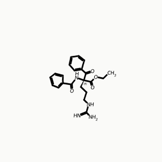 CCOC(=O)[C@](CCCNC(=N)N)(NC(=O)c1ccccc1)C(=O)c1ccccc1